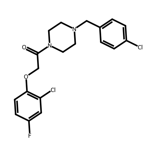 O=C(COc1ccc(F)cc1Cl)N1CCN(Cc2ccc(Cl)cc2)CC1